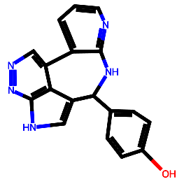 Oc1ccc(C2Nc3ncccc3-c3cnnc4[nH]cc2c34)cc1